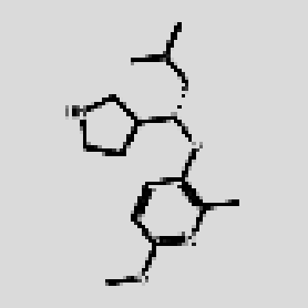 COc1ccc(O[C@@H](CC(C)C)C2CCNC2)c(C)n1